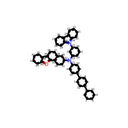 c1ccc(-c2ccc(-c3ccc(N(c4cccc(-n5c6ccccc6c6ccccc65)c4)c4ccc5c(ccc6c7ccccc7oc56)c4)cc3)cc2)cc1